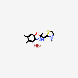 Br.Cc1cc2c(cc1C)OC(C)(/C=C1\SCCN1C)N2